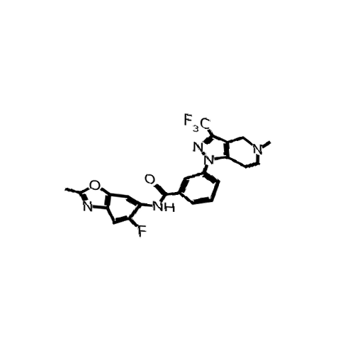 Cc1nc2cc(F)c(NC(=O)c3cccc(-n4nc(C(F)(F)F)c5c4CCN(C)C5)c3)cc2o1